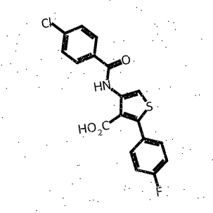 O=C(Nc1csc(-c2ccc(F)cc2)c1C(=O)O)c1ccc(Cl)cc1